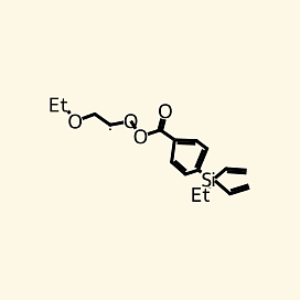 C=C[Si](C=C)(CC)c1ccc(C(=O)OO[CH]COCC)cc1